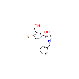 OCc1cc([C@@]2(O)CCN(Cc3ccccc3)C2)ccc1Br